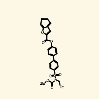 CC(C)CN(C(=O)OC(C)(C)C)S(=O)(=O)c1ccc(-c2ccc(OC(=O)c3cc4ccccc4o3)cc2)cc1